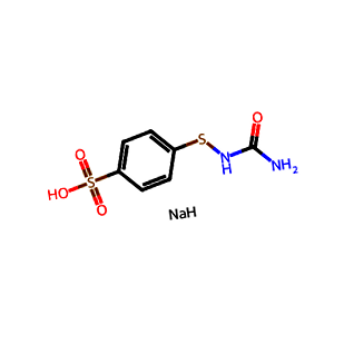 NC(=O)NSc1ccc(S(=O)(=O)O)cc1.[NaH]